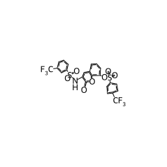 O=c1oc2c(OS(=O)(=O)c3ccc(C(F)(F)F)cc3)cccc2cc1NS(=O)(=O)c1cccc(C(F)(F)F)c1